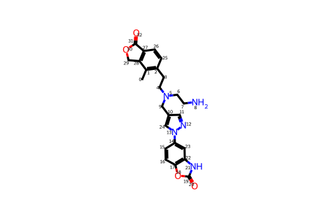 Cc1c(CCN(CCN)Cc2cnn(-c3ccc4oc(=O)[nH]c4c3)c2)ccc2c1COC2=O